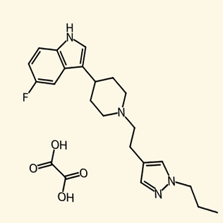 CCCn1cc(CCN2CCC(c3c[nH]c4ccc(F)cc34)CC2)cn1.O=C(O)C(=O)O